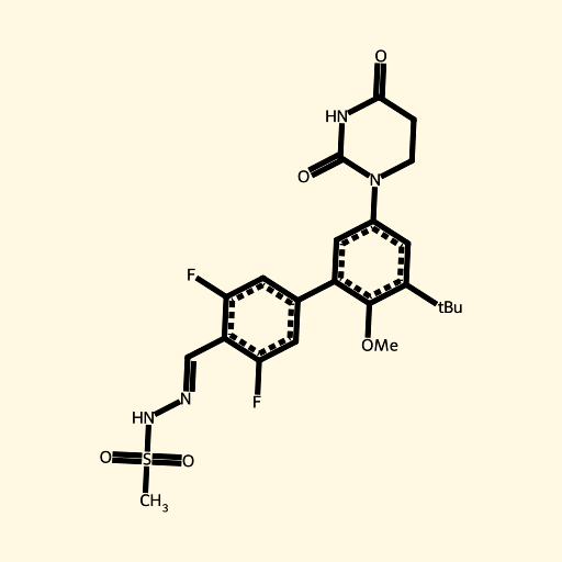 COc1c(-c2cc(F)c(C=NNS(C)(=O)=O)c(F)c2)cc(N2CCC(=O)NC2=O)cc1C(C)(C)C